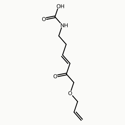 C=CCOCC(=O)C=CCCNC(=O)O